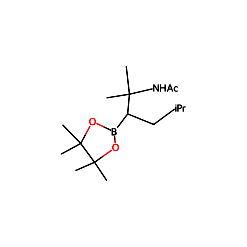 CC(=O)NC(C)(C)C(CC(C)C)B1OC(C)(C)C(C)(C)O1